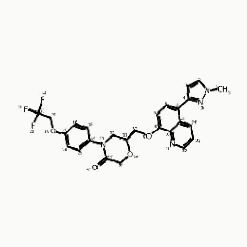 Cn1ccc(-c2ccc(OCC3CN(c4ccc(OCC(F)(F)F)cc4)C(=O)CO3)c3ncccc23)n1